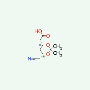 CC1(C)O[C@H](CC#N)C[C@H](CC(=O)O)O1